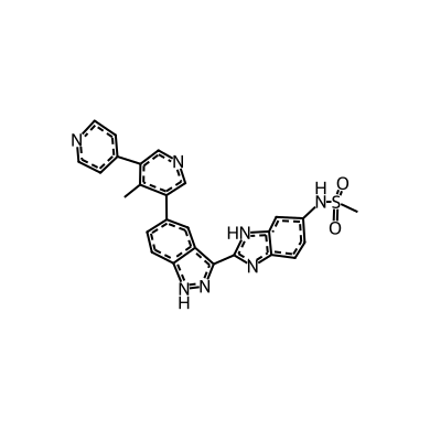 Cc1c(-c2ccncc2)cncc1-c1ccc2[nH]nc(-c3nc4ccc(NS(C)(=O)=O)cc4[nH]3)c2c1